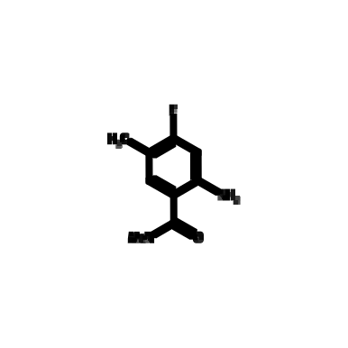 CNC(=O)c1cc(C)c(F)cc1N